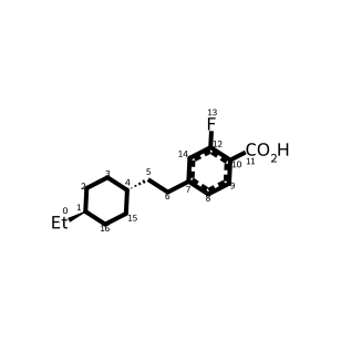 CC[C@H]1CC[C@H](CCc2ccc(C(=O)O)c(F)c2)CC1